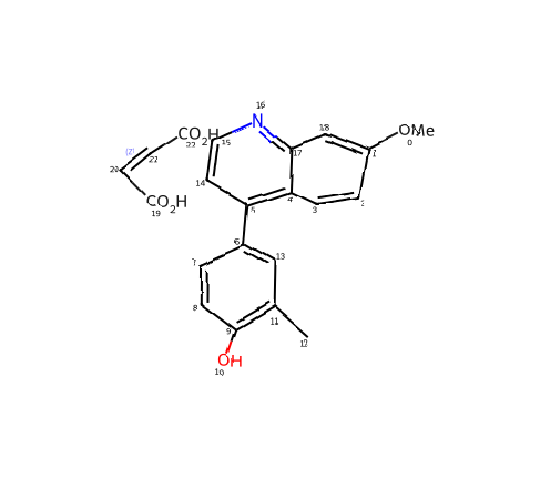 COc1ccc2c(-c3ccc(O)c(C)c3)ccnc2c1.O=C(O)/C=C\C(=O)O